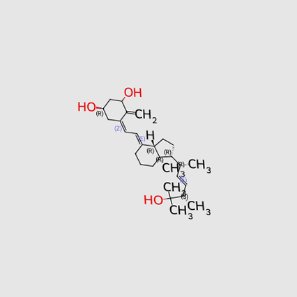 C=C1/C(=C\C=C2/CCC[C@]3(C)[C@@H]([C@H](C)/C=C/[C@H](C)C(C)(C)O)CC[C@@H]23)C[C@@H](O)CC1O